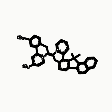 CC(C)(C)c1ccc2c(c1)-c1cc(C(C)(C)C)cc[n+]1/C(=C1\Cc3ccc4c(c3-c3cccc[n+]31)C(C)(C)c1c-4ccc3ccccc13)C2